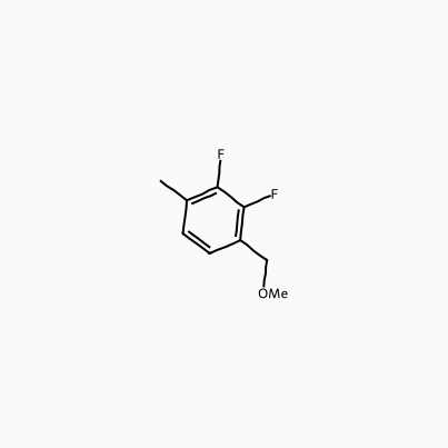 COCc1ccc(C)c(F)c1F